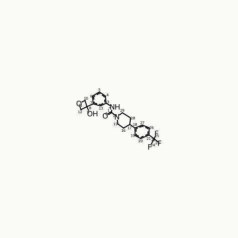 O=C(Nc1cccc(C2(O)COC2)c1)N1CCC(c2ccc(C(F)(F)F)cc2)CC1